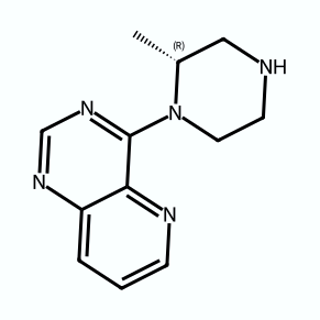 C[C@@H]1CNCCN1c1ncnc2cccnc12